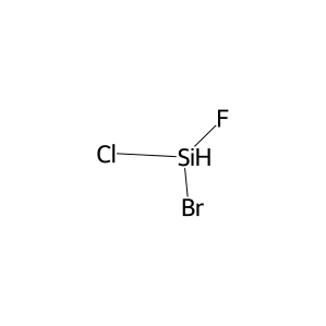 F[SiH](Cl)Br